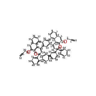 C#CCOc1cc2ccccc2c2c1OC1(C=C2c2cccc(C3=CC4(Oc5c(OCC#C)cc6ccccc6c53)c3ccccc3-c3ccccc34)c2)c2ccccc2-c2ccccc21